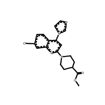 COC(=O)C1CCN(c2cc(-n3ccnc3)c3ccc(Cl)cc3n2)CC1